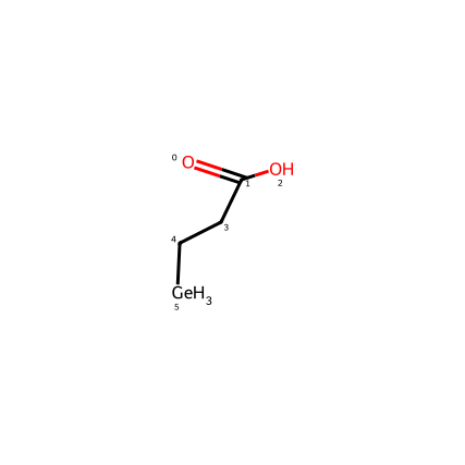 O=C(O)C[CH2][GeH3]